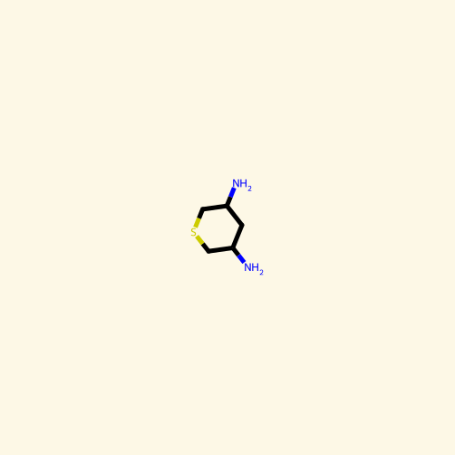 NC1CSCC(N)C1